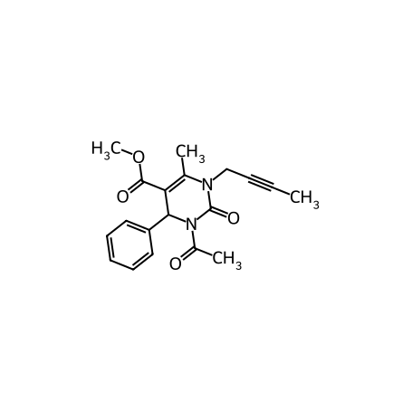 CC#CCN1C(=O)N(C(C)=O)C(c2ccccc2)C(C(=O)OC)=C1C